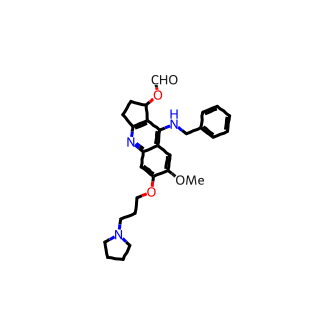 COc1cc2c(NCc3ccccc3)c3c(nc2cc1OCCCN1CCCC1)CCC3OC=O